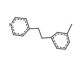 Cc1cccc(CCc2ccncc2)c1